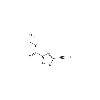 C#Cc1cc(C(=O)OCC)no1